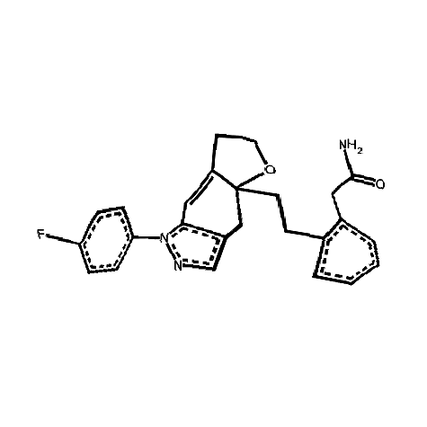 NC(=O)Cc1ccccc1CCC12Cc3cnn(-c4ccc(F)cc4)c3C=C1CCO2